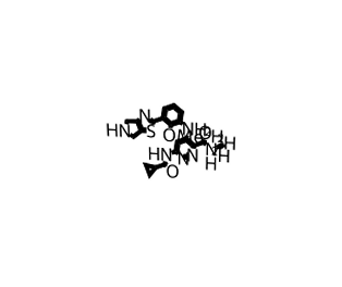 [2H]C([2H])([2H])NC(=O)c1nnc(NC(=O)C2CC2)cc1Nc1cccc(-c2nc3c(s2)CNC3)c1OC